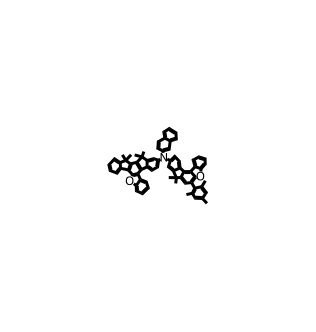 Cc1cc(C)c(-c2cc3c(c4c2oc2ccccc24)-c2ccc(N(c4ccc5c(c4)C(C)(C)c4c6c(c7oc8ccccc8c7c4-5)-c4ccccc4C6(C)C)c4ccc5ccccc5c4)cc2C3(C)C)c(C)c1